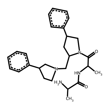 CC(N)C(=O)NC(C)C(=O)N1CC(c2ccccc2)CC1CN1CCC(c2ccccc2)C1